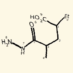 CCC(CC(C)C(=O)NN)C(=O)O